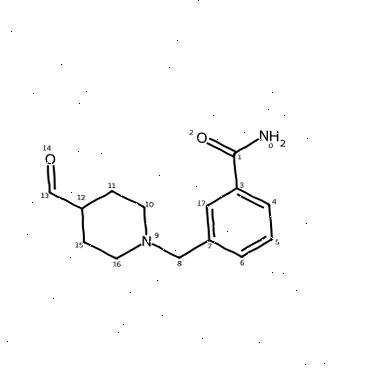 NC(=O)c1cccc(CN2CCC(C=O)CC2)c1